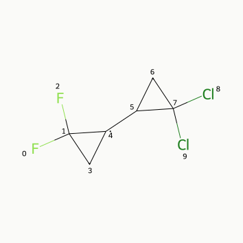 FC1(F)C[C]1C1CC1(Cl)Cl